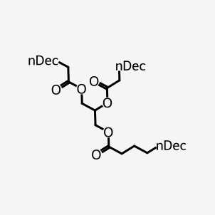 CCCCCCCCCCCCCC(=O)OCC(COC(=O)CCCCCCCCCCC)OC(=O)CCCCCCCCCCC